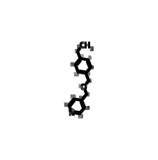 CCc1ccc(COCc2ccncc2)cc1